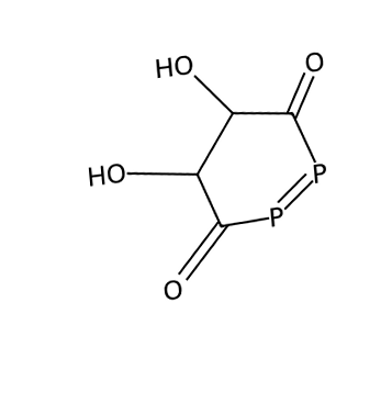 O=C1P=PC(=O)C(O)C1O